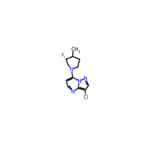 CC1CCN(c2ccnc3c(Cl)cnn23)C[C@@H]1F